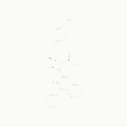 C=C(O)C1N(C(=O)NC(c2ccccc2)c2ccccc2)C(=O)[C@]1(C)CCc1ccc(OC)cc1